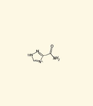 NC(=O)C1=NNC=[N+]1